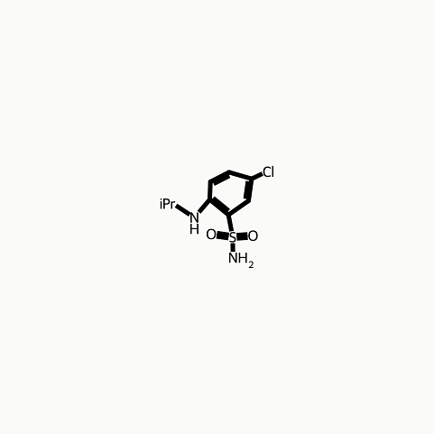 CC(C)Nc1ccc(Cl)cc1S(N)(=O)=O